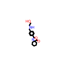 O=C1OC(c2ccc(CNCCO)cc2)=NC12CCCCC2